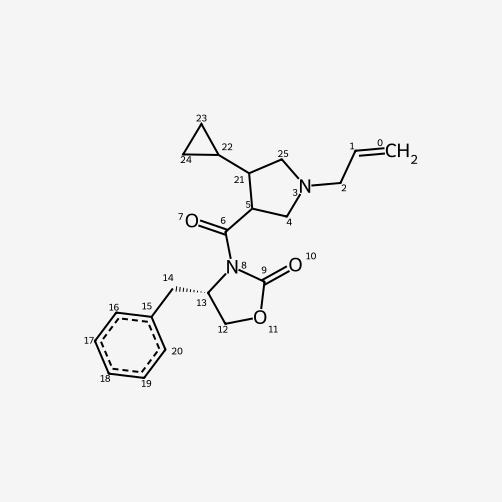 C=CCN1CC(C(=O)N2C(=O)OC[C@@H]2Cc2ccccc2)C(C2CC2)C1